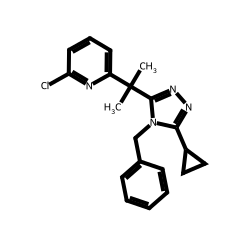 CC(C)(c1cccc(Cl)n1)c1nnc(C2CC2)n1Cc1ccccc1